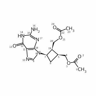 CC(=O)OC[C@H]1C[C@@H](n2cnc3c(=O)[nH]c(N)nc32)[C@H]1COC(C)=O